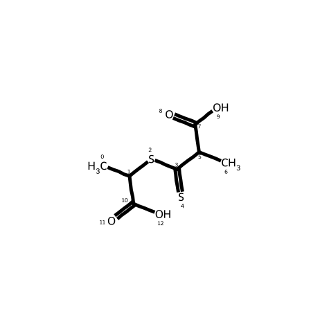 CC(SC(=S)C(C)C(=O)O)C(=O)O